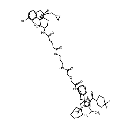 CC(C)c1nnc(CCNC(=O)COCC(=O)NCCCNC(=O)COCC(=O)N[C@@H]2CC[C@@]3(O)[C@H]4Cc5ccc(O)c6c5[C@@]3(CCN4CC3CC3)[C@H]2O6)n1C1CC2CCC(C1)N2CC[C@H](NC(=O)C1CCC(F)(F)CC1)c1ccccc1